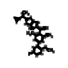 C=C(C1CC1)N1Cc2nc(C(=N)c3c(C)cc(-c4cc(F)ccc4CC)cc3N)[nH]c2C1